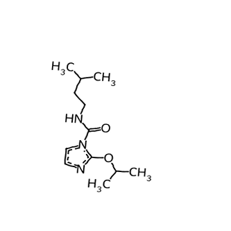 CC(C)CCNC(=O)n1ccnc1OC(C)C